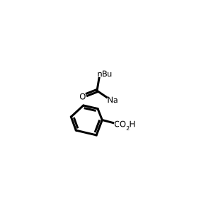 CCCC[C](=O)[Na].O=C(O)c1ccccc1